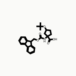 CC(C)(C)OC1CCC(NC(=O)OCC2c3ccccc3-c3ccccc32)(C(=O)O)C1